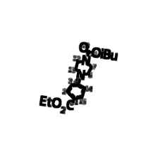 CCOC(=O)c1ccc(N2CCN(C(=O)OCC(C)C)CC2)cc1